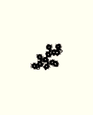 c1ccc(N(c2cc(-c3ccc4c(c3)c3cc5ccc6oc7ccccc7c6c5cc3n4-c3ccccc3)cc(N(c3ccccc3)c3ccc4oc5ccccc5c4c3)c2)c2ccc3ccccc3c2)cc1